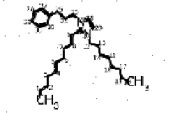 CCCCCCCCCCc1n(CCCCCCCC)cc[n+]1CCCc1ccccc1